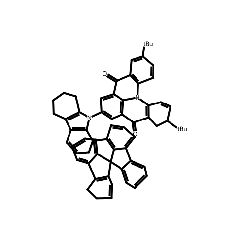 CC(C)(C)c1ccc2c(c1)c(=O)c1cc(-n3c4c(c5c3C(c3cccc6c3C3(C7=C(CCC=C7)c7ccccc73)c3ccccc3-6)CC=C5)CCCC4)cc3c(=O)c4c(n2c31)C=CC(C(C)(C)C)C4